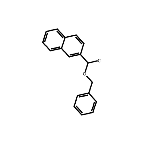 ClC(OCc1ccccc1)c1ccc2ccccc2c1